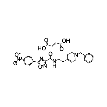 O=C(NCCC1=CCN(Cc2ccccc2)CC1)c1noc(-c2ccc([N+](=O)[O-])cc2)n1.O=C(O)C=CC(=O)O